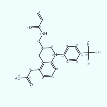 C=CC(=O)NCC1Cc2c(CC(=O)O)cccc2N(c2ccc(C(F)(F)F)cc2)C1